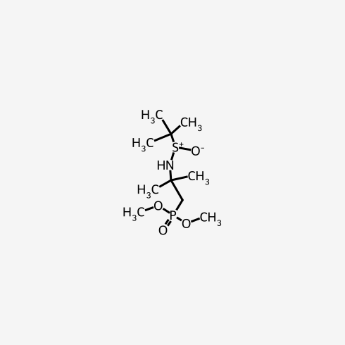 COP(=O)(CC(C)(C)N[S+]([O-])C(C)(C)C)OC